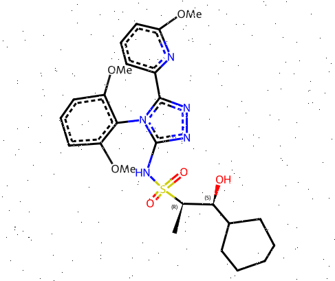 COc1cccc(-c2nnc(NS(=O)(=O)[C@H](C)[C@@H](O)C3CCCCC3)n2-c2c(OC)cccc2OC)n1